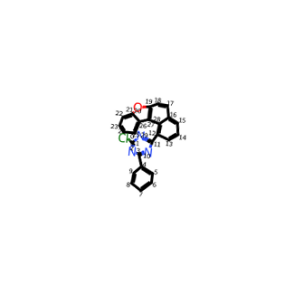 Clc1nc(-c2ccccc2)nc(-c2cccc3ccc4oc5ccccc5c4c23)n1